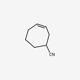 N#CC1CC=CCCC1